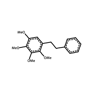 COc1cc(CCc2ccccc2)c(OC)c(OC)c1OC